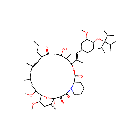 CCCC1/C=C(\C)CC(C)CC(OC)C2OC(O)(C(=O)C(=O)N3CCCCC3C(=O)OC(C(C)=CC3CCC(O[Si](C(C)C)(C(C)C)C(C)C)C(OC)C3)C(C)C(O)CC1=O)C(C)CC2OC